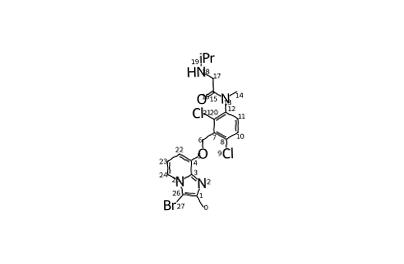 Cc1nc2c(OCc3c(Cl)ccc(N(C)C(=O)CNC(C)C)c3Cl)cccn2c1Br